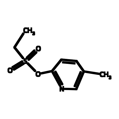 CCS(=O)(=O)Oc1ccc(C)cn1